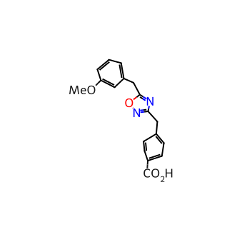 COc1cccc(Cc2nc(Cc3ccc(C(=O)O)cc3)no2)c1